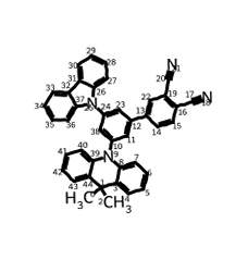 CC1(C)c2ccccc2N(c2cc(-c3ccc(C#N)c(C#N)c3)cc(-n3c4ccccc4c4ccccc43)c2)c2ccccc21